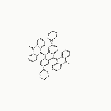 CN1c2ccccc2N(c2c3ccc(N4CCCCC4)cc3c(N3c4ccccc4N(C)c4ccccc43)c3ccc(N4CCCCC4)cc23)c2ccccc21